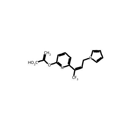 C=C(Oc1cccc(/C(=C\Cn2cccc2)C(F)(F)F)n1)C(=O)O